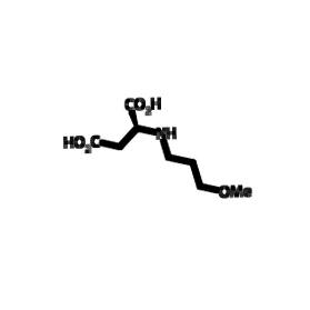 COCCCN[C@@H](CC(=O)O)C(=O)O